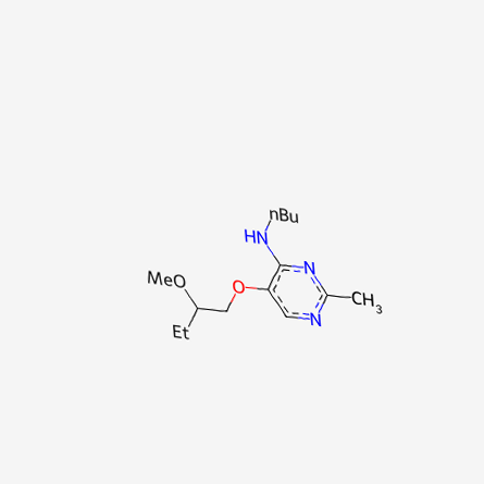 CCCCNc1nc(C)ncc1OCC(CC)OC